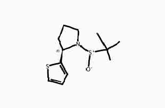 CC(C)(C)[S+]([O-])N1CCC[C@@H]1c1cccs1